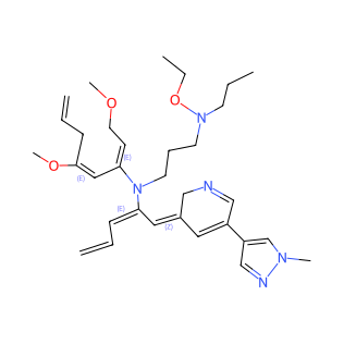 C=C/C=C(\C=C1\C=C(c2cnn(C)c2)C=NC1)N(CCCN(CCC)OCC)C(/C=C(\CC=C)OC)=C/COC